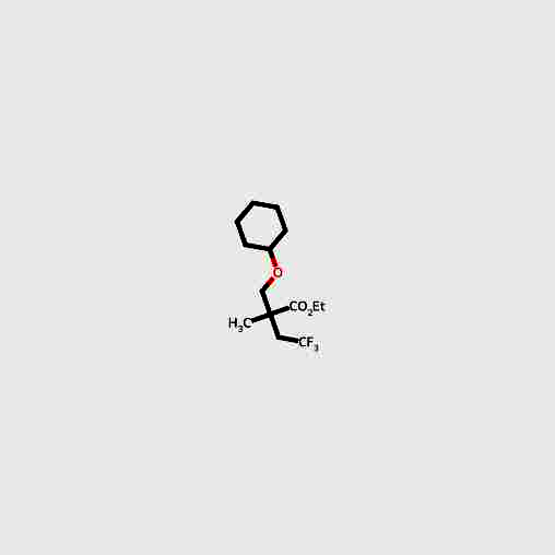 CCOC(=O)C(C)(COC1CCCCC1)CC(F)(F)F